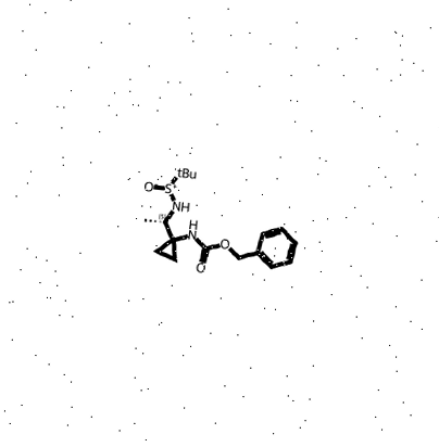 C[C@H](N[S+]([O-])C(C)(C)C)C1(NC(=O)OCc2ccccc2)CC1